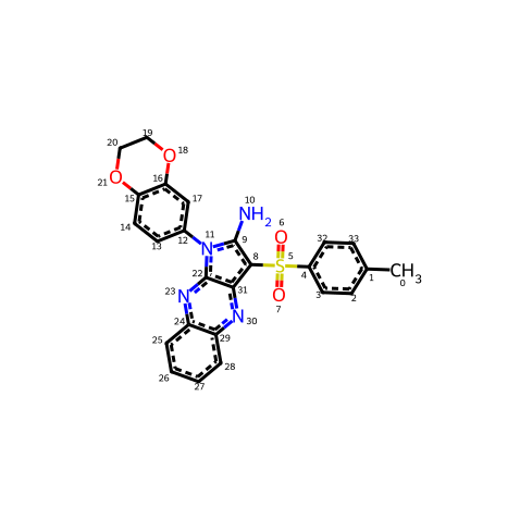 Cc1ccc(S(=O)(=O)c2c(N)n(-c3ccc4c(c3)OCCO4)c3nc4ccccc4nc23)cc1